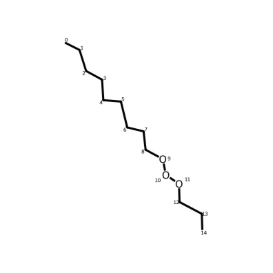 CCCCCCCCCOOOCCC